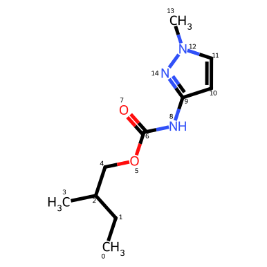 CCC(C)COC(=O)Nc1ccn(C)n1